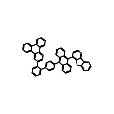 c1ccc(-c2ccc3c4ccccc4c4ccccc4c3c2)c(-c2ccc(-c3c4ccccc4c(-c4cccc5c4sc4ccccc45)c4ccccc34)cc2)c1